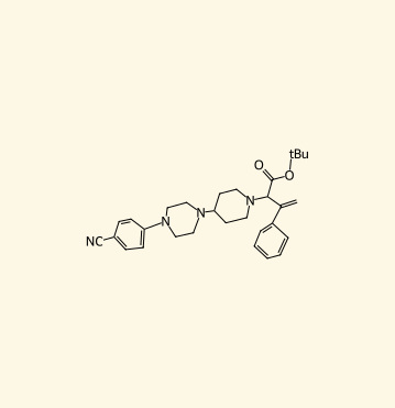 C=C(c1ccccc1)C(C(=O)OC(C)(C)C)N1CCC(N2CCN(c3ccc(C#N)cc3)CC2)CC1